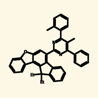 CCC1(CC)c2ccccc2-c2c(-c3nc(-c4ccccc4)c(C)c(-c4ccccc4C)n3)cc3oc4ccccc4c3c21